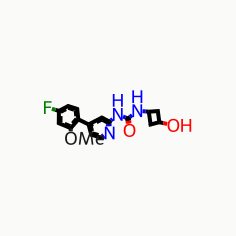 COc1cc(F)ccc1-c1ccnc(NC(=O)NC2CC(O)C2)c1